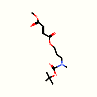 COC(=O)/C=C/C(=O)OCCCN(C)C(=O)OC(C)(C)C